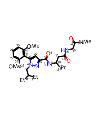 CCC(CC)Cn1nc(C(=O)NC(CC(=O)NCC(=O)NC)C(C)C)cc1-c1c(OC)cccc1OC